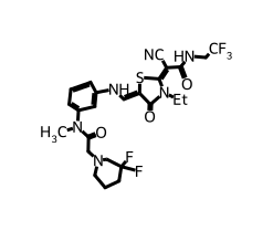 CCn1c(=C(C#N)C(=O)NCC(F)(F)F)sc(=CNc2cccc(N(C)C(=O)CN3CCCC(F)(F)C3)c2)c1=O